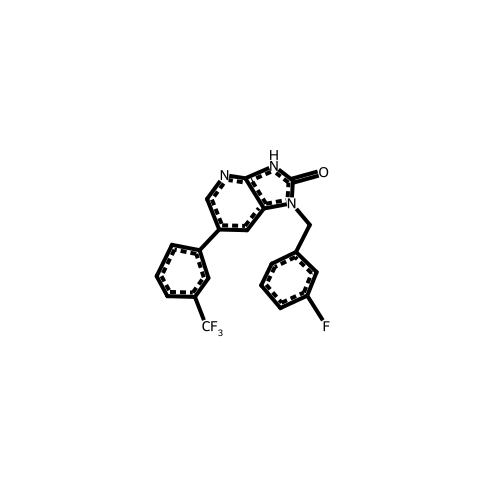 O=c1[nH]c2ncc(-c3cccc(C(F)(F)F)c3)cc2n1Cc1cccc(F)c1